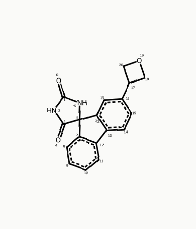 O=C1NC(=O)C2(N1)c1ccccc1-c1ccc(C3COC3)cc12